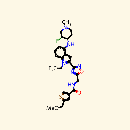 COCc1cc(C(=O)NCc2nc(-c3cc4c(N[C@@H]5CCN(C)C[C@@H]5F)cccc4n3CC(F)(F)F)no2)cs1